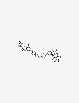 O=C1CCC(c2c(F)cc(N3CCC4(CC3)CC(CN3CCC(c5ccc6c(c5)-n5c(nc(=O)c7c(Br)cccc75)C65CCCCC5)CC3)C4)cc2F)C(=O)N1